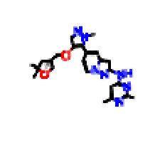 Cc1cc(Nc2cc3cc(-c4c(OC[C@H]5COC(C)(C)C5)cnn4C)ccn3n2)nc(C)n1